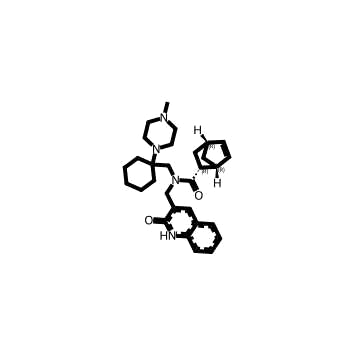 CN1CCN(C2(CN(Cc3cc4ccccc4[nH]c3=O)C(=O)[C@@H]3C[C@@H]4C=C[C@H]3C4)CCCCC2)CC1